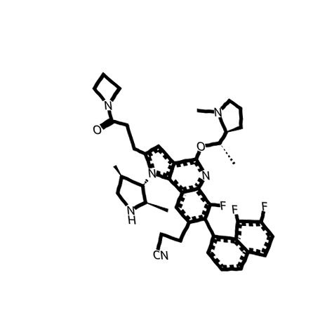 C[C@@H]1CN[C@H](C)[C@H]1n1c(CCC(=O)N2CCC2)cc2c(O[C@@H](C)[C@@H]3CCCN3C)nc3c(F)c(-c4cccc5ccc(F)c(F)c45)c(CCC#N)cc3c21